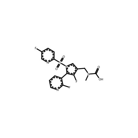 CN(Cc1cn(S(=O)(=O)c2ccc(F)cn2)c(-c2cccnc2F)c1F)C(=O)O